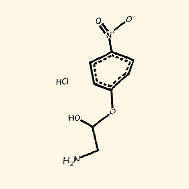 Cl.NCC(O)Oc1ccc([N+](=O)[O-])cc1